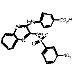 O=C(O)c1ccc(Nc2nc3ccccc3nc2NS(=O)(=O)c2cccc([N+](=O)[O-])c2)cc1